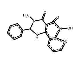 CN1C(=O)c2c(c3cccnc3n(O)c2=O)NC1c1ccccc1